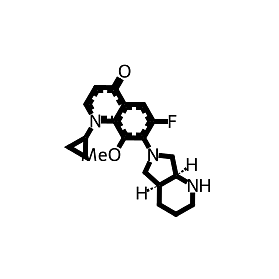 COc1c(N2C[C@@H]3CCCN[C@@H]3C2)c(F)cc2c(=O)ccn(C3CC3)c12